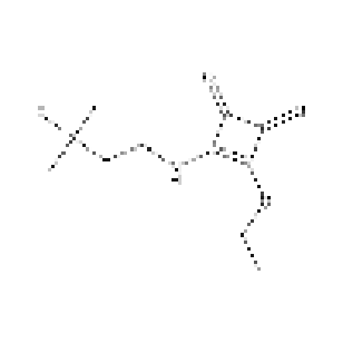 CCOc1c(NCCC(C)(C)F)c(=O)c1=O